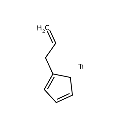 C=CCC1=CC=CC1.[Ti]